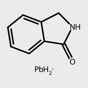 O=C1NCc2ccccc21.[PbH2]